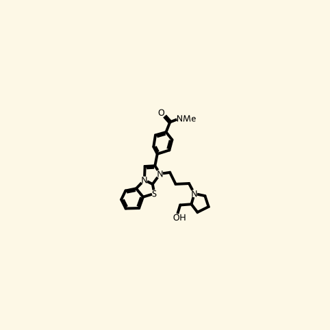 CNC(=O)c1ccc(C2=CN3c4ccccc4SC3N2CCCN2CCCC2CO)cc1